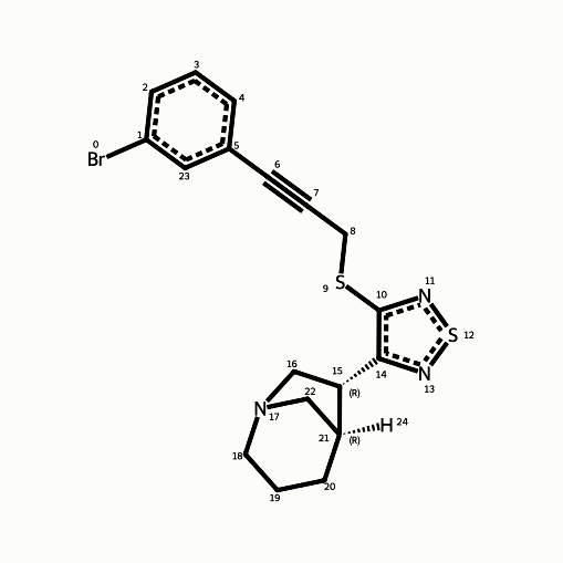 Brc1cccc(C#CCSc2nsnc2[C@H]2CN3CCC[C@H]2C3)c1